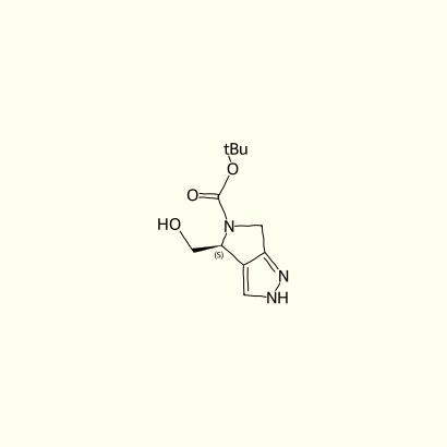 CC(C)(C)OC(=O)N1Cc2n[nH]cc2[C@H]1CO